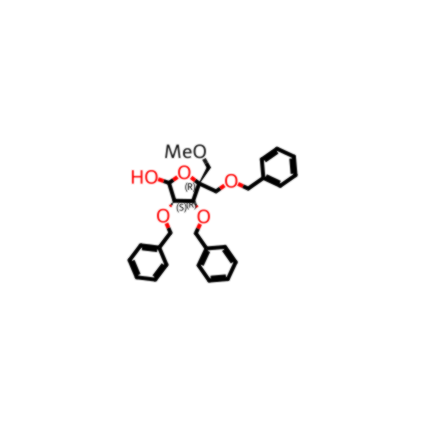 COC[C@]1(COCc2ccccc2)OC(O)[C@@H](OCc2ccccc2)[C@H]1OCc1ccccc1